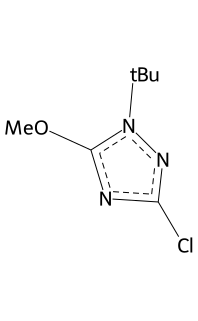 COc1nc(Cl)nn1C(C)(C)C